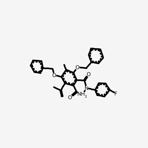 C=C(C)c1c(OCc2ccccc2)c(C)c(OCc2ccccc2)c(C(=O)N(C)c2ccc(F)cc2)c1C(N)=O